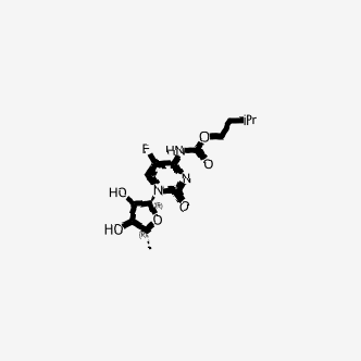 CC(C)CCOC(=O)Nc1nc(=O)n([C@@H]2O[C@H](C)C(O)C2O)cc1F